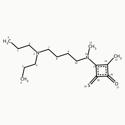 CCCN(CCC)CCCCN(C)c1c(C)c(=O)c1=S